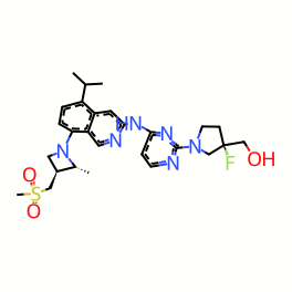 CC(C)c1ccc(N2C[C@H](CS(C)(=O)=O)[C@H]2C)c2cnc(Nc3ccnc(N4CC[C@](F)(CO)C4)n3)cc12